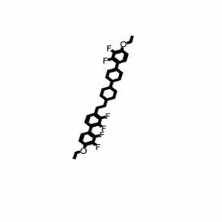 CCOc1ccc(C2=CCC(C3CCC(CCc4ccc(-c5ccc(OCC)c(F)c5F)c(F)c4F)CC3)CC2)c(F)c1F